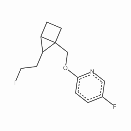 Fc1ccc(OCC23CCC2C3CCI)nc1